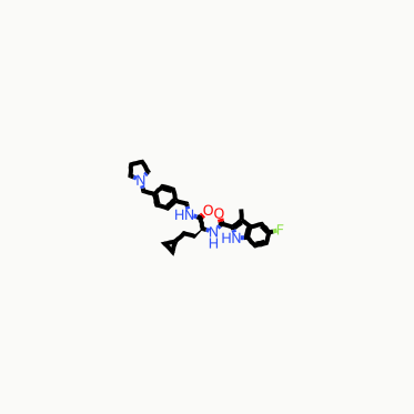 Cc1c(C(=O)N[C@@H](CCC2CC2)C(=O)NCc2ccc(CN3CCCC3)cc2)[nH]c2ccc(F)cc12